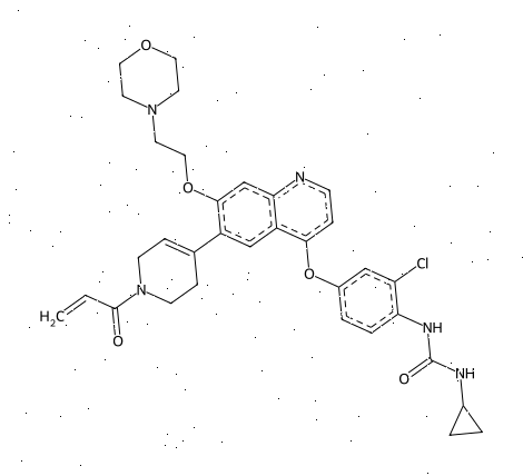 C=CC(=O)N1CC=C(c2cc3c(Oc4ccc(NC(=O)NC5CC5)c(Cl)c4)ccnc3cc2OCCN2CCOCC2)CC1